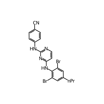 CCCc1cc(Br)c(Nc2ccnc(Nc3ccc(C#N)cc3)n2)c(Br)c1